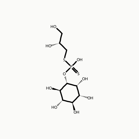 OC[C@@H](O)CSP(O)(=S)O[C@@H]1[C@H](O)[C@H](O)[C@@H](O)[C@H](O)[C@H]1O